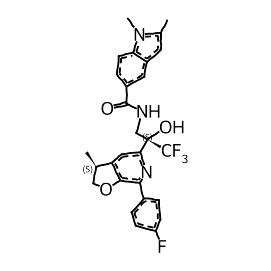 Cc1cc2cc(C(=O)NC[C@](O)(c3cc4c(c(-c5ccc(F)cc5)n3)OC[C@H]4C)C(F)(F)F)ccc2n1C